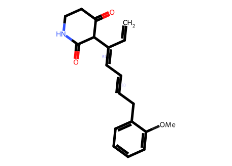 C=C/C(=C\C=C\Cc1ccccc1OC)C1C(=O)CCNC1=O